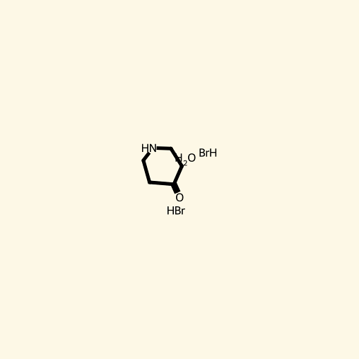 Br.Br.O.O=C1CCNCC1